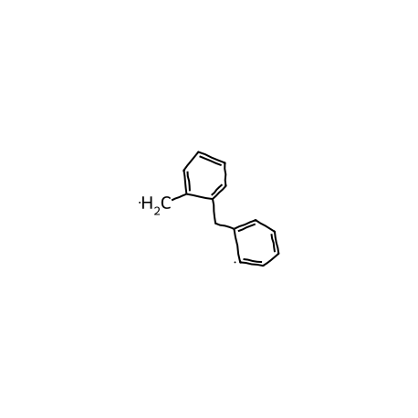 [CH2]c1ccccc1Cc1[c]cccc1